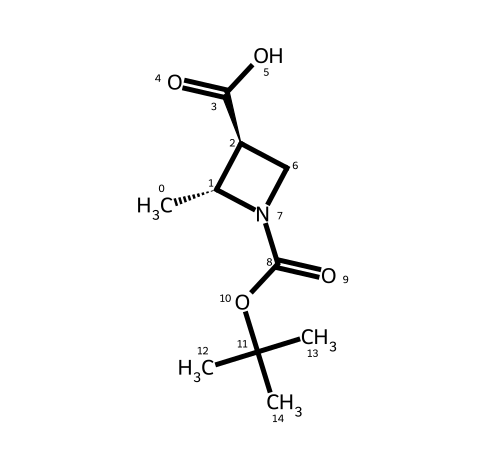 C[C@@H]1[C@@H](C(=O)O)CN1C(=O)OC(C)(C)C